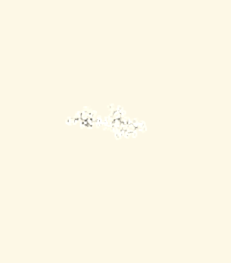 COc1ccc2c(=O)c(OCCCCSc3nnc4c(Cl)cccn34)c(-c3ccc(C)cc3)oc2c1